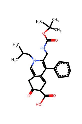 CC(C)CN1C=C2CC(=O)C(C(=O)O)C=C2C(c2ccccc2)=C1CNC(=O)OC(C)(C)C